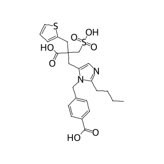 CCCCc1ncc(CC(Cc2cccs2)(CS(=O)(=O)O)C(=O)O)n1Cc1ccc(C(=O)O)cc1